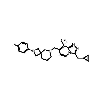 Fc1ccc(N2CC3(CCCN(Cc4ccn5c(CC6CC6)nnc5c4C(F)(F)F)C3)C2)cc1